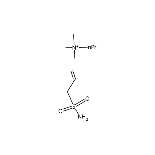 C=CCS(N)(=O)=O.CCC[N+](C)(C)C